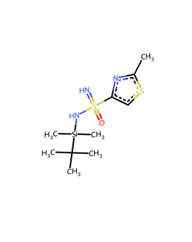 Cc1nc(S(=N)(=O)N[Si](C)(C)C(C)(C)C)cs1